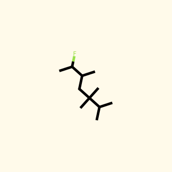 CC(F)C(C)CC(C)(C)C(C)C